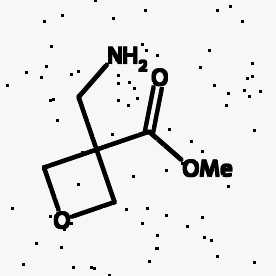 COC(=O)C1(CN)COC1